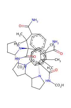 CC1(C)C(C(N)=O)c2ccc(cc2)[C@@]1(C(=O)NC(=O)O)N1CCCC1C1CC[C@H](C2CCCN2[C@]2(C(=O)NC(=O)O)c3ccc(cc3)C(C(N)=O)C2(C)C)N1c1ccc(C(F)(F)F)cc1